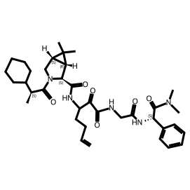 C=CCCC(NC(=O)[C@@H]1[C@@H]2[C@H](CN1C(=O)[C@@H](C)C1CCCCC1)C2(C)C)C(=O)C(=O)NCC(=O)N[C@H](C(=O)N(C)C)c1ccccc1